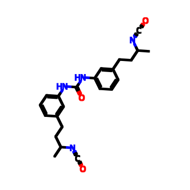 CC(CCc1cccc(NC(=O)Nc2cccc(CCC(C)N=C=O)c2)c1)N=C=O